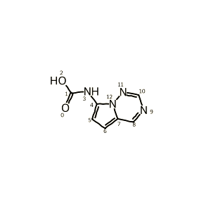 O=C(O)Nc1ccc2cncnn12